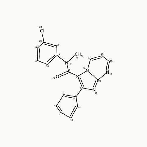 CN(C(=O)c1c(-c2ccccc2)nc2ncccn12)c1cccc(Cl)c1